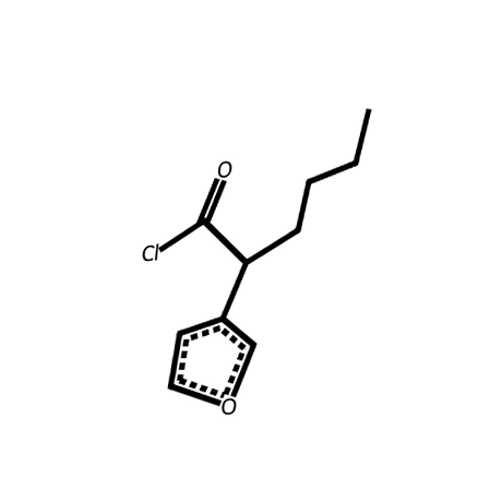 CCCCC(C(=O)Cl)c1ccoc1